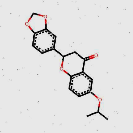 CC(C)Oc1ccc2c(c1)C(=O)CC(c1ccc3c(c1)OCO3)O2